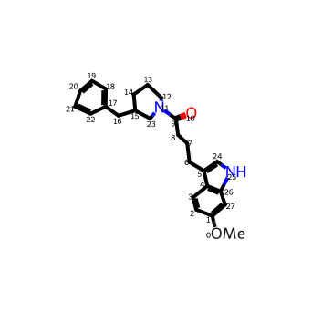 COc1ccc2c(CCCC(=O)N3CCCC(Cc4ccccc4)C3)c[nH]c2c1